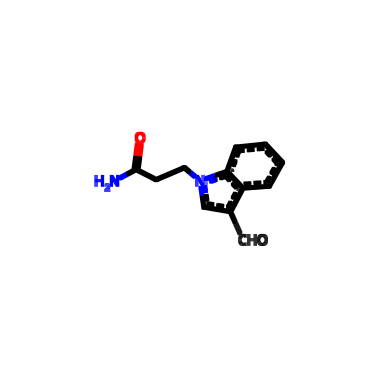 NC(=O)CCn1cc(C=O)c2ccccc21